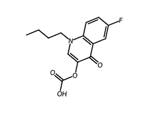 CCCCn1cc(OC(=O)O)c(=O)c2cc(F)ccc21